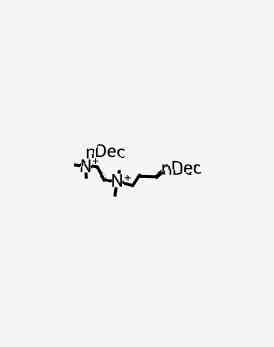 CCCCCCCCCCCCC[N+](C)(C)CC[N+](C)(C)CCCCCCCCCC